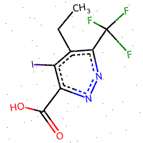 CCc1c(C(F)(F)F)nnc(C(=O)O)c1I